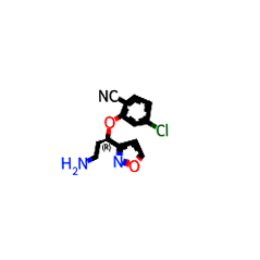 N#Cc1ccc(Cl)cc1O[C@H](CCN)c1ccon1